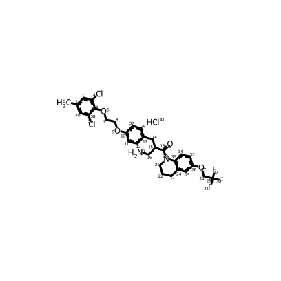 Cc1cc(Cl)c(OCCOc2ccc(CC(CN)C(=O)N3CCCc4cc(OCC(F)(F)F)ccc43)cc2)c(Cl)c1.Cl